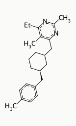 CCc1nc(C)nc(CC2CCC[C@H](Cc3ccc(C)cc3)C2)c1C